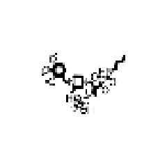 CCCCNC(=O)OC(=O)C1(C(=O)N2CCN(Cc3ccc(OC)c(OC)c3OC)C(C)C2)CO1.O=S(=O)(O)O